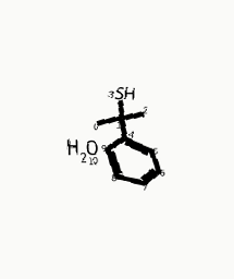 CC(C)(S)c1ccccc1.O